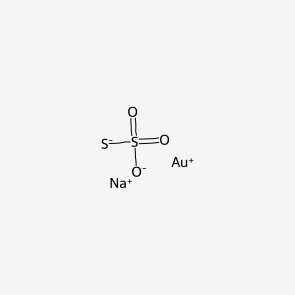 O=S(=O)([O-])[S-].[Au+].[Na+]